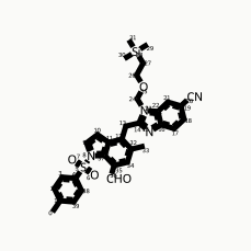 Cc1ccc(S(=O)(=O)n2ccc3c(Cc4nc5ccc(C#N)cc5n4COCC[Si](C)(C)C)c(C)cc(C=O)c32)cc1